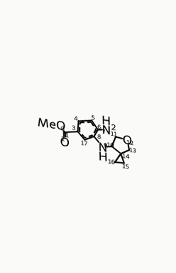 COC(=O)c1ccc(N)c(NC2COCC23CC3)c1